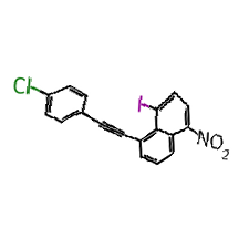 O=[N+]([O-])c1ccc(I)c2c(C#Cc3ccc(Cl)cc3)cccc12